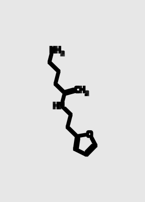 C=C(CCCN)NCCc1ccco1